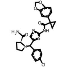 NC(=O)[C@@H]1CCCN1C(c1ccc(Cl)cc1)c1cnc(NC(=O)C2(c3ccc4c(c3)OCO4)CC2)s1